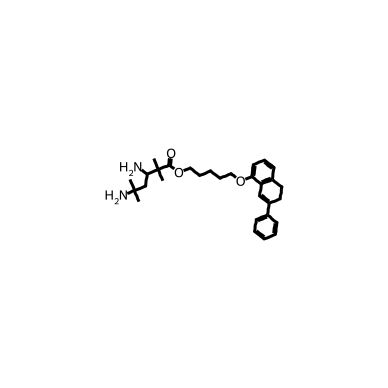 CC(C)(N)CC(N)C(C)(C)C(=O)OCCCCCOc1cccc2c1C=C(c1ccccc1)CC2